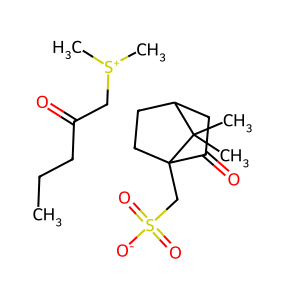 CC1(C)C2CCC1(CS(=O)(=O)[O-])C(=O)C2.CCCC(=O)C[S+](C)C